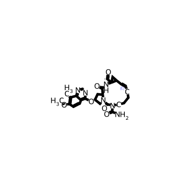 COc1ccc2c(OC3CC4C(=O)NC5([C]=O)CC5/C=C/CCCCN(C(N)=O)C(=O)N4C3)ncnc2c1C